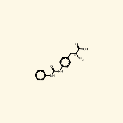 N[C@@H](Cc1ccc(NC(=O)Nc2ccccc2)cc1)C(=O)O